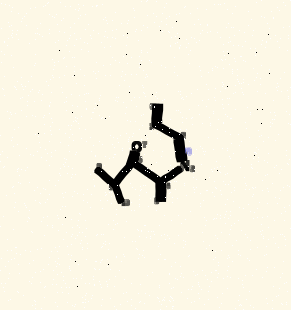 C=C/C=N\C(=C)C(=O)C(C)C